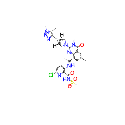 Cc1cc([C@@H](C)Nc2ccc(Cl)nc2C(=O)NS(C)(=O)=O)c2nc(N3C[C@@H]4C(c5nnn(C)c5C)[C@@H]4C3)n(C)c(=O)c2c1